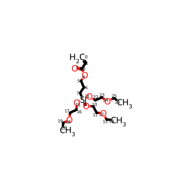 C=CC(=O)OCCC[Si](OCCOCC)(OCCOCC)OCCOCC